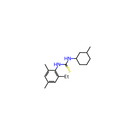 CCc1cc(C)cc(C)c1NC(=S)NC1CCCC(C)C1